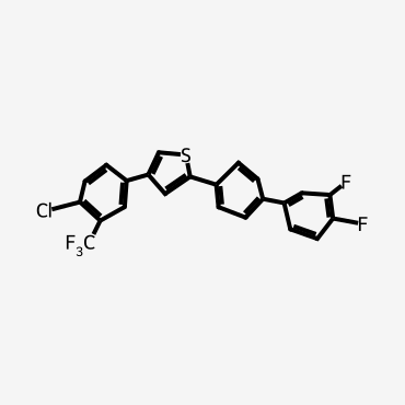 Fc1ccc(-c2ccc(-c3cc(-c4ccc(Cl)c(C(F)(F)F)c4)cs3)cc2)cc1F